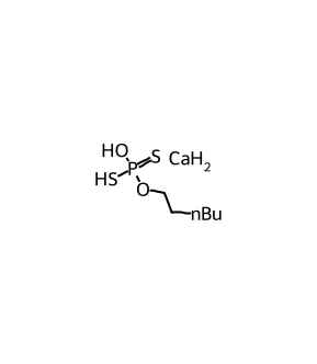 CCCCCCOP(O)(=S)S.[CaH2]